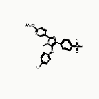 COc1ccc(-c2nc(-c3ccc(S(C)(=O)=O)cc3)c(Sc3ccc(Cl)cc3)n2C)cn1